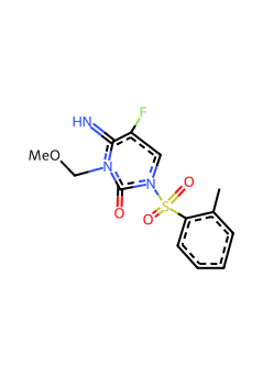 COCn1c(=N)c(F)cn(S(=O)(=O)c2ccccc2C)c1=O